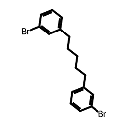 Brc1cccc(CCCCCc2cccc(Br)c2)c1